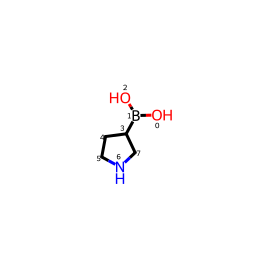 OB(O)C1CCNC1